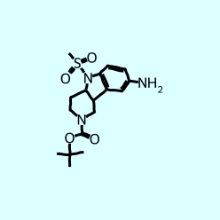 CC(C)(C)OC(=O)N1CCC2C(C1)c1cc(N)ccc1N2S(C)(=O)=O